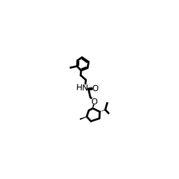 Cc1ccccc1CCNC(=O)CO[C@@H]1C[C@H](C)CC[C@H]1C(C)C